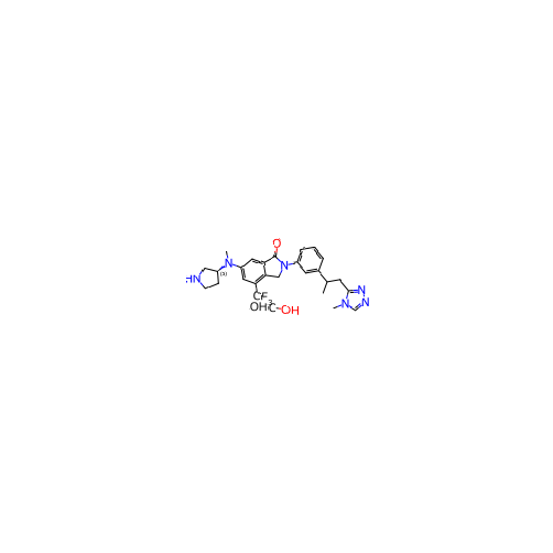 CC(Cc1nncn1C)c1cccc(N2Cc3c(cc(N(C)[C@H]4CCNC4)cc3C(F)(F)F)C2=O)c1.O=CO